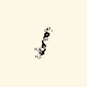 Cc1cc(CN2CC3C(CNCc4cccc(OC(F)(F)F)c4)C3C2)n(C)n1